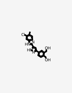 Cc1cc2nc(-c3cc(-c4ccc(CO)c(CO)c4)n[nH]3)[nH]c2cc1Cl